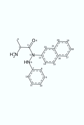 CC(N)C(=O)N(Nc1ccccc1)c1ccc2ccccc2c1